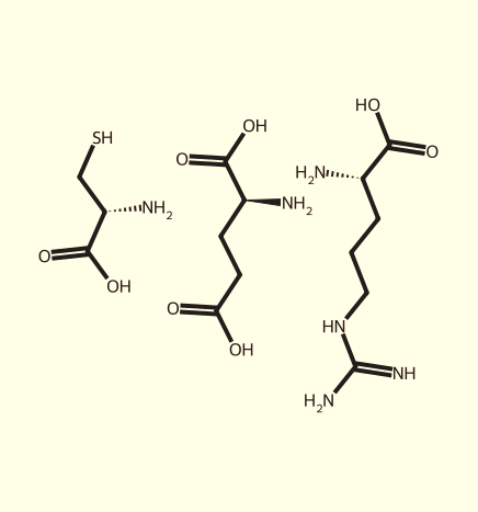 N=C(N)NCCC[C@H](N)C(=O)O.N[C@@H](CCC(=O)O)C(=O)O.N[C@@H](CS)C(=O)O